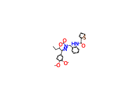 CCC1OC(=O)N(Cc2ccccc2NC(=O)c2cccs2)N=C1c1ccc(OC)c(OC)c1